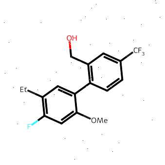 CCc1cc(-c2ccc(C(F)(F)F)cc2CO)c(OC)cc1F